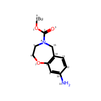 CC(C)(C)OC(=O)N1CCOc2cc(N)ccc2C1